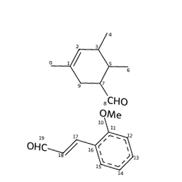 CC1=CC(C)C(C)C(C=O)C1.COc1ccccc1C=CC=O